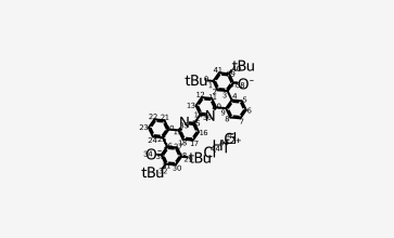 CC(C)(C)c1cc(-c2ccccc2-c2cccc(-c3cccc(-c4ccccc4-c4cc(C(C)(C)C)cc(C(C)(C)C)c4[O-])n3)n2)c([O-])c(C(C)(C)C)c1.[Cl][Hf+2][Cl]